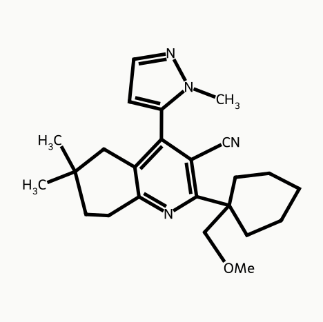 COCC1(c2nc3c(c(-c4ccnn4C)c2C#N)CC(C)(C)CC3)CCCCC1